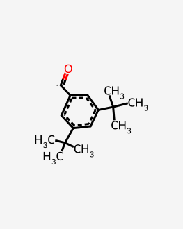 CC(C)(C)c1cc([C]=O)cc(C(C)(C)C)c1